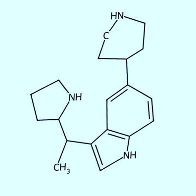 CC(c1c[nH]c2ccc(C3CCNCC3)cc12)C1CCCN1